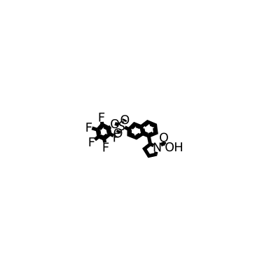 O=C(O)N1CCCC1c1cccc2cc(S(=O)(=O)Oc3c(F)c(F)c(F)c(F)c3F)ccc12